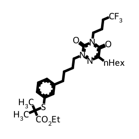 CCCCCCc1nn(CCCCc2cccc(SC(C)(C)C(=O)OCC)c2)c(=O)n(CCCC(F)(F)F)c1=O